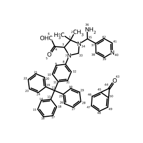 CC1(C)C(C(=O)C=O)N(c2ccc(C(c3ccccc3)(c3ccccc3)c3ccccc3)cc2)CN1C(N)c1ccncc1.O=c1c2ccccc12